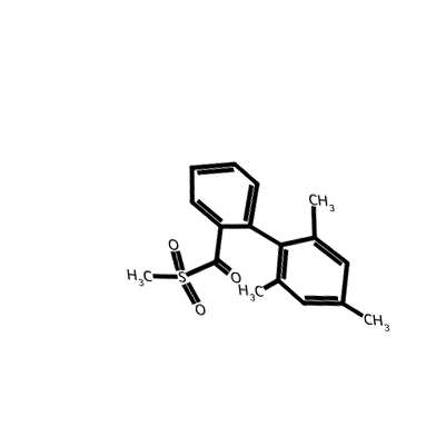 Cc1cc(C)c(-c2ccccc2C(=O)S(C)(=O)=O)c(C)c1